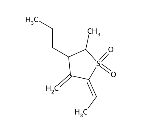 C=C1/C(=C\C)S(=O)(=O)C(C)C1CCC